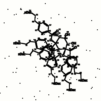 CCCCCCCCCCCCc1ccc(C(=O)O[C@@]2(C(=O)c3ccc(CCCCCCCCCCCC)cc3)[C@@](OC(=O)c3ccc(CCCCCCCCCCCC)cc3)(C(=O)c3ccc(CCCCCCCCCCCC)cc3)[C@@H](O)[C@H](O)[C@@H](O)[C@@]2(OC(=O)c2ccc(CCCCCCCCCCCC)cc2)C(=O)c2ccc(CCCCCCCCCCCC)cc2)cc1